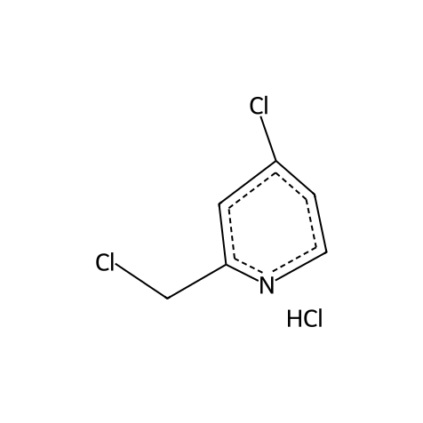 Cl.ClCc1cc(Cl)ccn1